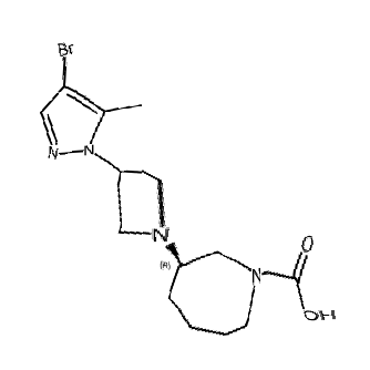 Cc1c(Br)cnn1C1CN([C@@H]2CCCN(C(=O)O)C2)C1